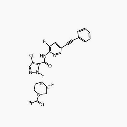 CC(C)C(=O)N1CC[C@H](Cn2ncc(Cl)c2C(=O)Nc2ncc(C#Cc3ccccc3)cc2F)[C@H](F)C1